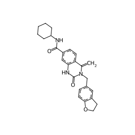 C=C1c2ccc(C(=O)NC3CCCCC3)cc2NC(=O)N1Cc1ccc2c(c1)CCO2